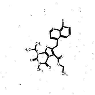 CCOC(=O)c1c(Cc2ccnc3c(F)cccc23)sc2c1c(=O)n(C)c(=O)n2C(C)C